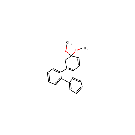 COC1(OC)C=CC=C(c2ccccc2-c2ccccc2)C1